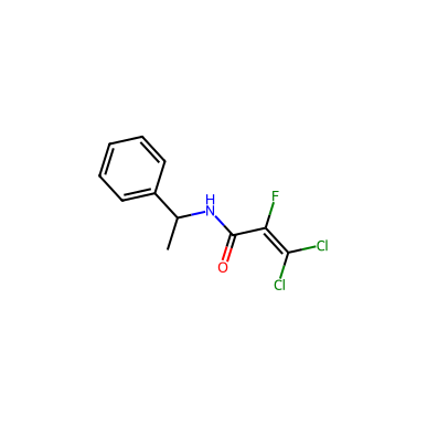 CC(NC(=O)C(F)=C(Cl)Cl)c1ccccc1